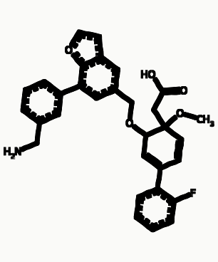 COC1(CC(=O)O)C=CC(c2ccccc2F)=CC1OCc1cc(-c2cccc(CN)c2)c2occc2c1